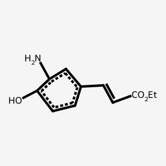 CCOC(=O)/C=C/c1ccc(O)c(N)c1